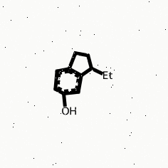 CCC1CCc2ccc(O)cc21